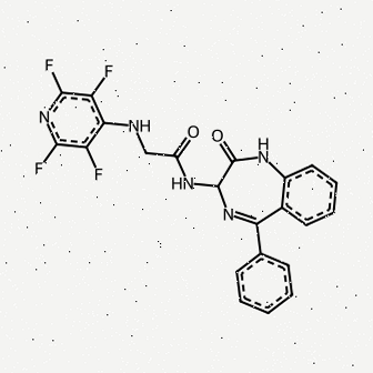 O=C(CNc1c(F)c(F)nc(F)c1F)NC1N=C(c2ccccc2)c2ccccc2NC1=O